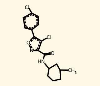 CC1CCCC(NC(=O)c2noc(-c3ccc(Cl)cc3)c2Cl)C1